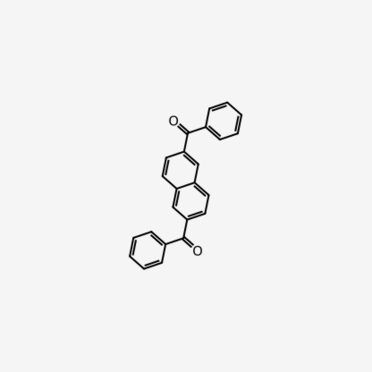 O=C(c1ccccc1)c1ccc2cc(C(=O)c3ccccc3)ccc2c1